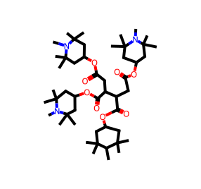 CC1C(C)(C)CC(OC(=O)C(CC(=O)OC2CC(C)(C)N(C)C(C)(C)C2)C(CC(=O)OC2CC(C)(C)N(C)C(C)(C)C2)C(=O)OC2CC(C)(C)N(C)C(C)(C)C2)CC1(C)C